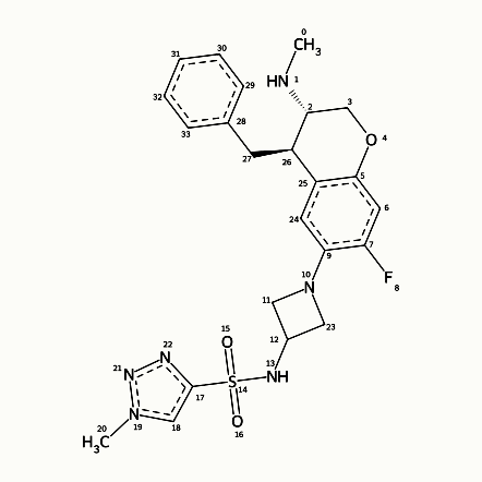 CN[C@@H]1COc2cc(F)c(N3CC(NS(=O)(=O)c4cn(C)nn4)C3)cc2[C@H]1Cc1ccccc1